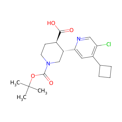 CC(C)(C)OC(=O)N1CC[C@@H](C(=O)O)[C@H](c2cc(C3CCC3)c(Cl)cn2)C1